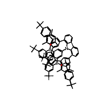 Cc1cc(C)c(B2c3cc(C(C)(C)C)ccc3N3c4ccc(C(C)(C)C)cc4B(c4c(C)cc(C)cc4C)c4cc(-n5c6c(-c7cc(-c8ccc(C(C)(C)C)cc8)cc(-c8ccc(C(C)(C)C)cc8)c7)cccc6c6cccc(-c7cc(-c8ccc(C(C)(C)C)cc8)cc(-c8ccc(C(C)(C)C)cc8)c7)c65)cc2c43)c(C)c1